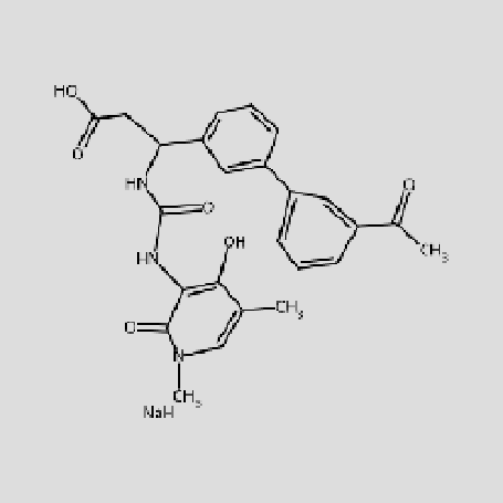 CC(=O)c1cccc(-c2cccc(C(CC(=O)O)NC(=O)Nc3c(O)c(C)cn(C)c3=O)c2)c1.[NaH]